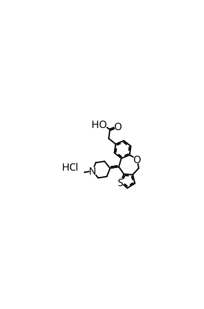 CN1CCC(=C2c3cc(CC(=O)O)ccc3OCc3ccsc32)CC1.Cl